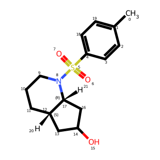 Cc1ccc(S(=O)(=O)N2CCC[C@H]3CC(O)C[C@H]32)cc1